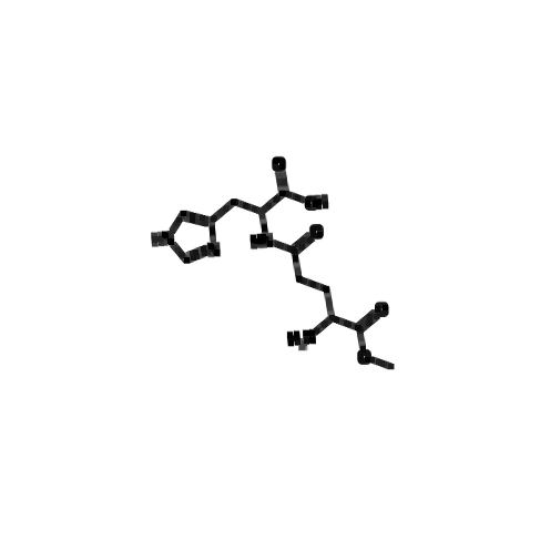 COC(=O)C(N)CCC(=O)NC(Cc1c[nH]cn1)C(=O)O